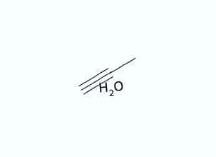 C#CC.O